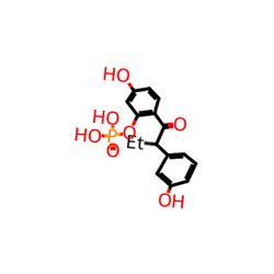 CCC(C(=O)c1ccc(O)cc1OP(=O)(O)O)c1cccc(O)c1